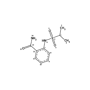 CC(C)S(=O)(=O)Nc1ccccc1C(N)=O